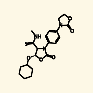 CNC(=S)C1[C@@H](OC2CCCCC2)OC(=O)N1c1ccc(N2CCOC2=O)cc1